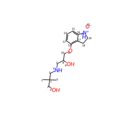 CC(C)(CO)CNCC(O)COc1cccc2c1CC[NH+]2[O-]